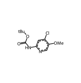 COc1cnc(NC(=O)OC(C)(C)C)cc1Cl